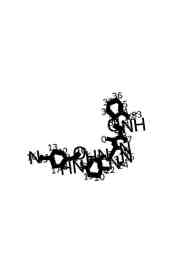 CC1=C2C(Nc3cc(NC(=O)c4ccc(C#N)cc4)ccc3C)=NC=NN2CC1C(=O)N[C@@H](C)c1ccccc1